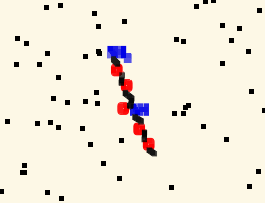 CCOCCOCCNC(=O)CCOCCOCCN